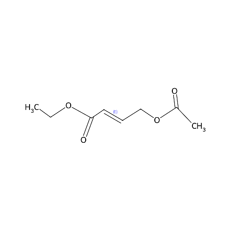 CCOC(=O)/C=C/COC(C)=O